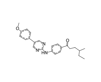 CCC(C)CCC(=O)c1ccc(Nc2ncc(-c3ccc(OC)cc3)cn2)cc1